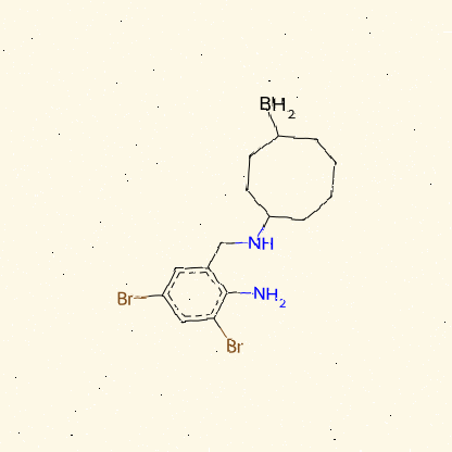 BC1CCCCC(NCc2cc(Br)cc(Br)c2N)CC1